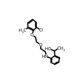 Cc1cccc(Cl)c1OCCOCCNc1ccccc1C(C)O